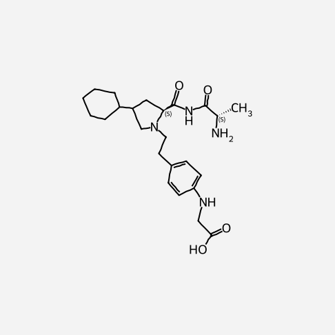 C[C@H](N)C(=O)NC(=O)[C@@H]1CC(C2CCCCC2)CN1CCc1ccc(NCC(=O)O)cc1